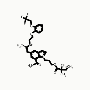 CCC(C)(C)C(=O)OCCCn1ccc2cc(C[C@@H](C)NCCOc3ccccc3OCC(F)(F)F)cc(C(N)=O)c21